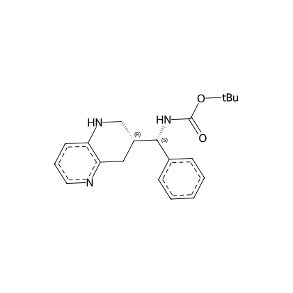 CC(C)(C)OC(=O)N[C@H](c1ccccc1)[C@H]1CNc2cccnc2C1